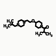 CC(C)CN1CCN(CCOC2CCN(C(=O)C(C)C)CC2)CC1